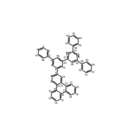 c1ccc(-c2cc(-c3ccc4c5ccccc5c5ccccc5c4c3)cc(-c3cc(-c4ccccc4)nc(-c4ccccc4)n3)c2)cc1